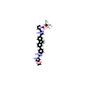 CC(C)(C)OC(=O)N1CCCC1c1ncc(-c2ccc3c(c2)C(F)(F)c2cc(-c4ccc5nc([C@@H]6CC7(CN6)OCCO7)[nH]c5c4)ccc2-3)[nH]1